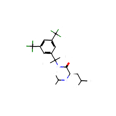 CC(C)C[C@@H](NC(C)C)C(=O)NC(C)(C)c1cc(C(F)(F)F)cc(C(F)(F)F)c1